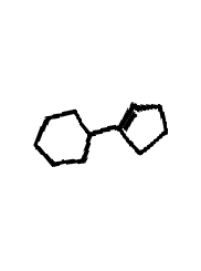 C1=C(C2CCCCC2)CCC1